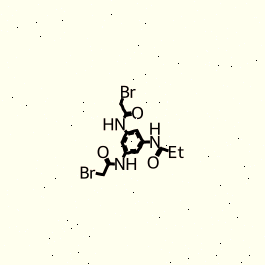 CCC(=O)Nc1cc(NC(=O)CBr)cc(NC(=O)CBr)c1